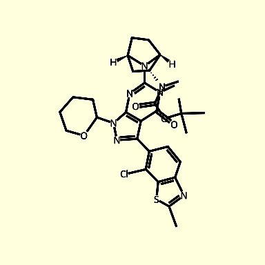 Cc1nc2ccc(-c3nn(C4CCCCO4)c4nc(N5[C@H]6CC[C@@H]5[C@H](N(C)C(=O)OC(C)(C)C)C6)n(C)c(=O)c34)c(Cl)c2s1